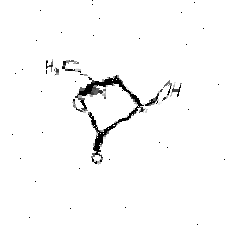 C[C@@H]1C[C@@H](O)CC(=O)O1